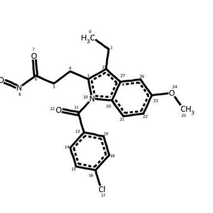 CCc1c(CCC(=O)N=O)n(C(=O)c2ccc(Cl)cc2)c2ccc(OC)cc12